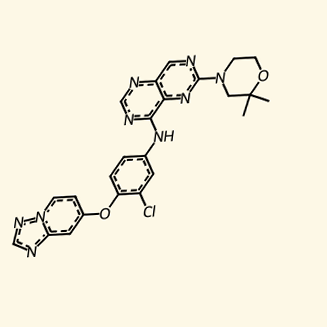 CC1(C)CN(c2ncc3ncnc(Nc4ccc(Oc5ccn6ncnc6c5)c(Cl)c4)c3n2)CCO1